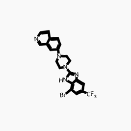 FC(F)(F)c1cc(Br)c2[nH]c(N3CCN(c4ccc5ccncc5c4)CC3)nc2c1